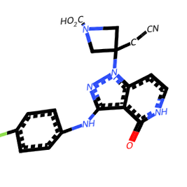 N#CCC1(n2nc(Nc3ccc(F)cc3)c3c(=O)[nH]ccc32)CN(C(=O)O)C1